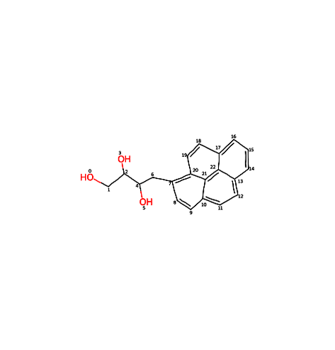 OCC(O)C(O)Cc1ccc2ccc3cccc4ccc1c2c34